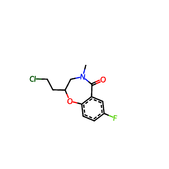 CN1CC(CCCl)Oc2ccc(F)cc2C1=O